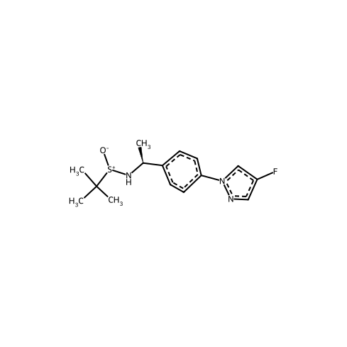 C[C@H](N[S+]([O-])C(C)(C)C)c1ccc(-n2cc(F)cn2)cc1